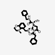 CCCN(C(=O)NCc1ccccc1)N1CC(=O)N([C@H](C)Cc2ccccc2)[C@@H]1CN(C=O)Cc1cccc2c1N(C)CCO2